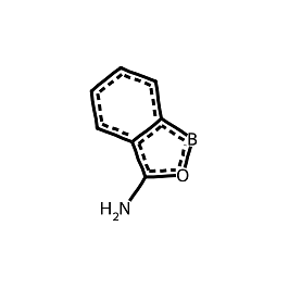 Nc1obc2ccccc12